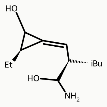 CC[C@@H]1/C(=C\[C@H](C(N)O)[C@@H](C)CC)C1O